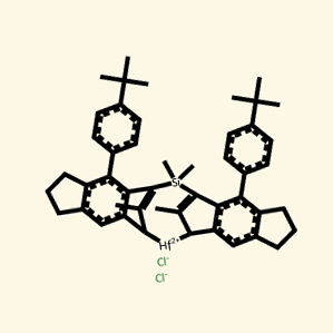 CC1=C2c3c(cc4c(c3-c3ccc(C(C)(C)C)cc3)CCC4)[CH]1[Hf+2][CH]1C(C)=C(c3c1cc1c(c3-c3ccc(C(C)(C)C)cc3)CCC1)[Si]2(C)C.[Cl-].[Cl-]